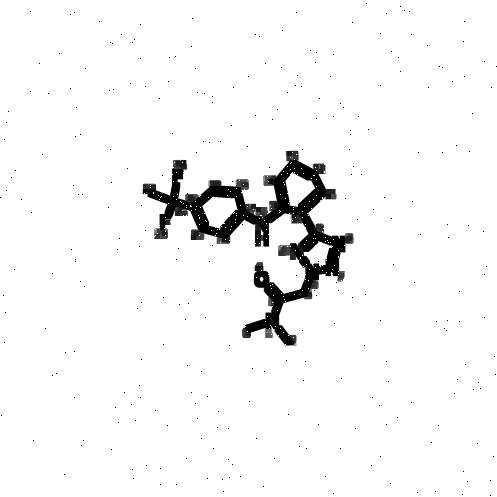 CN(C)C(=O)Cn1nnc(-c2ccccc2Nc2ccc(C(C)(F)F)cc2)n1